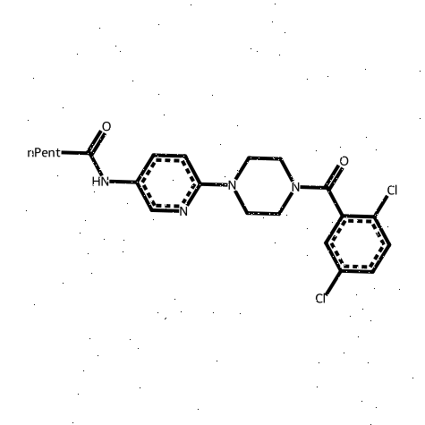 CCCCCC(=O)Nc1ccc(N2CCN(C(=O)c3cc(Cl)ccc3Cl)CC2)nc1